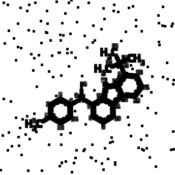 Cc1ccc(N(I)c2cccc3c2sc2c(C(C)(C)C)cccc23)cc1